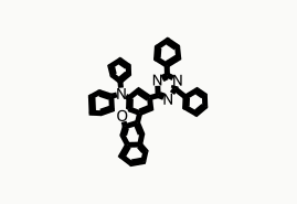 c1ccc(-c2nc(-c3ccccc3)nc(-c3cc(N(c4ccccc4)c4ccccc4)c4oc5cc6ccccc6cc5c4c3)n2)cc1